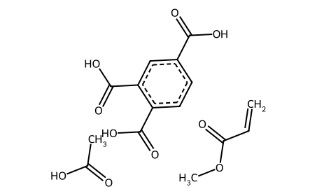 C=CC(=O)OC.CC(=O)O.O=C(O)c1ccc(C(=O)O)c(C(=O)O)c1